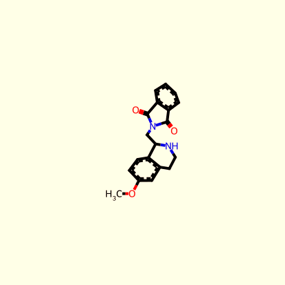 COc1ccc2c(c1)CCNC2CN1C(=O)c2ccccc2C1=O